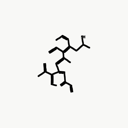 C=CC(=C)/C=C(/C=C(C)/C(C=C)=C(/C=C\C)CC(C)S)C(=C/C)\C(=C)C